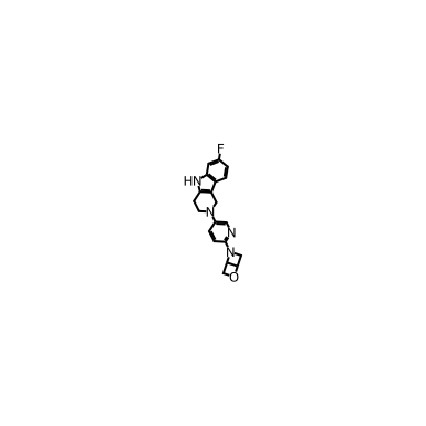 Fc1ccc2c3c([nH]c2c1)CCN(c1ccc(N2CC4OCC42)nc1)C3